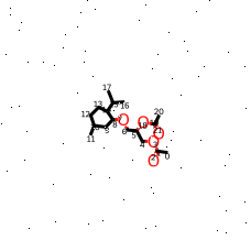 CC(=O)OCC(COC1CC(C)CCC1C(C)C)OC(C)=O